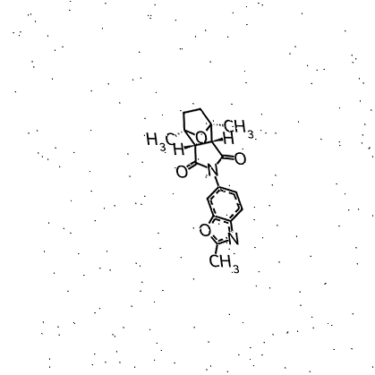 Cc1nc2ccc(N3C(=O)[C@@H]4[C@H](C3=O)[C@@]3(C)CC[C@]4(C)O3)cc2o1